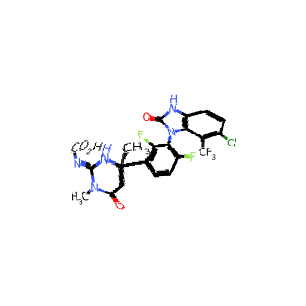 CN1C(=O)C[C@@](C)(c2ccc(F)c(-n3c(=O)[nH]c4ccc(Cl)c(C(F)(F)F)c43)c2F)N/C1=N\C(=O)O